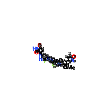 COc1cc(-c2cn(C)c(=O)c(C)c2C)cc(OC)c1CN1CC[C@H](N2CCN(c3ccc(N[C@H]4CCC(=O)NC4=O)cc3F)CC2)C(F)(F)C1